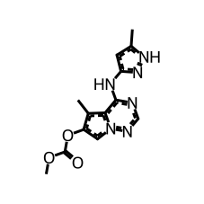 COC(=O)Oc1cn2ncnc(Nc3cc(C)[nH]n3)c2c1C